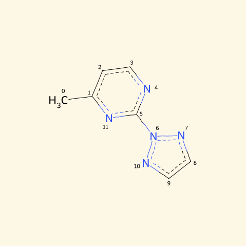 Cc1ccnc(-n2nccn2)n1